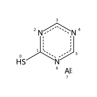 Sc1ncncn1.[Al]